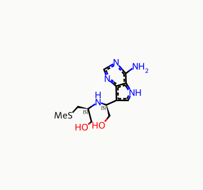 CSC[C@H](CO)N[C@H](CO)c1c[nH]c2c(N)ncnc12